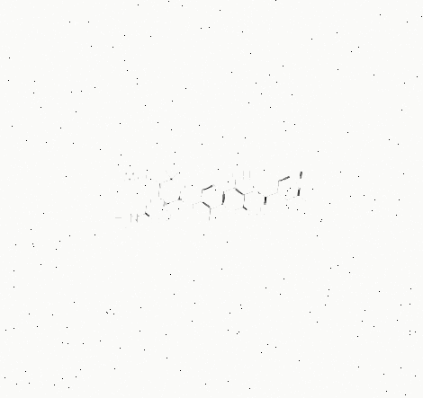 C=C=C(C)CC(C=C)C(=O)Nc1c(O)c2ccc(O[C@@H]3OC(C)(C)[C@H](OC)[C@@H](OC(N)=O)[C@H]3O)c(C)c2oc1=O